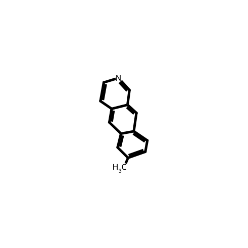 Cc1ccc2cc3cnccc3cc2c1